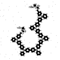 CCCCC(C)(C)OC(=O)OCc1ccc(N(c2ccccc2)c2ccc(-c3ccc(N(c4ccccc4)c4ccc(-c5ccc(N(c6ccccc6)c6ccc(-c7ccc(N(c8ccccc8)c8ccc(-c9ccc(N(c%10ccccc%10)c%10ccc(-c%11ccc(N(c%12ccccc%12)c%12ccc(COC(=O)OC(C)(C)CCCC)cc%12)cc%11)cc%10)cc9)cc8)cc7)cc6)cc5)cc4)cc3)cc2)cc1